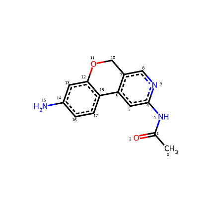 CC(=O)Nc1cc2c(cn1)COc1cc(N)ccc1-2